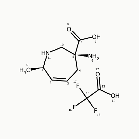 C[C@@H]1C=CC[C@@](N)(C(=O)O)CN1.O=C(O)C(F)(F)F